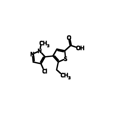 CCc1sc(C(=O)O)cc1-c1c(Cl)cnn1C